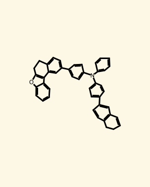 C1=Cc2cc(-c3ccc(N(c4ccccc4)c4ccc(-c5ccc6c(c5)-c5c(oc7ccccc57)CC6)cc4)cc3)ccc2CC1